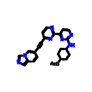 CC(=O)O[C@H]1CC[C@@H](Nc2nccc(-c3nccc(C#Cc4ccc5cncn5c4)n3)n2)CC1